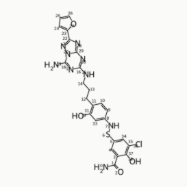 NC(=O)c1cc(SNc2ccc(CCCNc3nc(N)n4nc(-c5ccco5)nc4n3)c(O)c2)cc(Cl)c1O